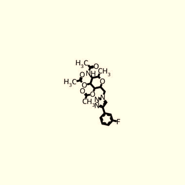 CC(=O)NC1C(C)OC(Cn2cc(-c3cccc(F)c3)nn2)C(OC(C)=O)C1OC(C)=O